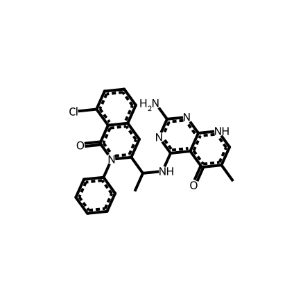 Cc1c[nH]c2nc(N)nc(NC(C)c3cc4cccc(Cl)c4c(=O)n3-c3ccccc3)c2c1=O